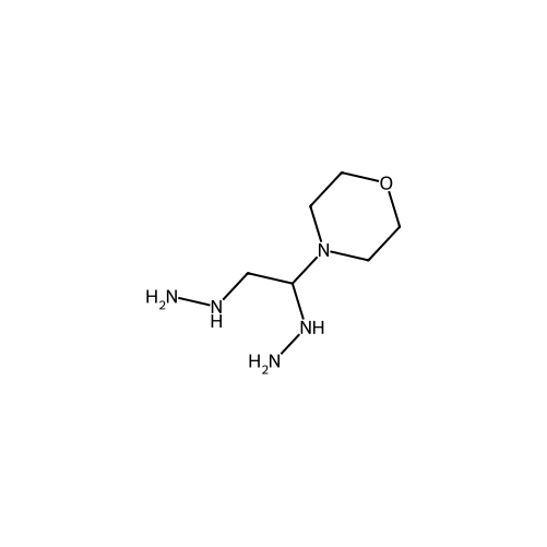 NNCC(NN)N1CCOCC1